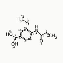 C=CC(=O)Nc1ccc(B(O)O)cc1OC